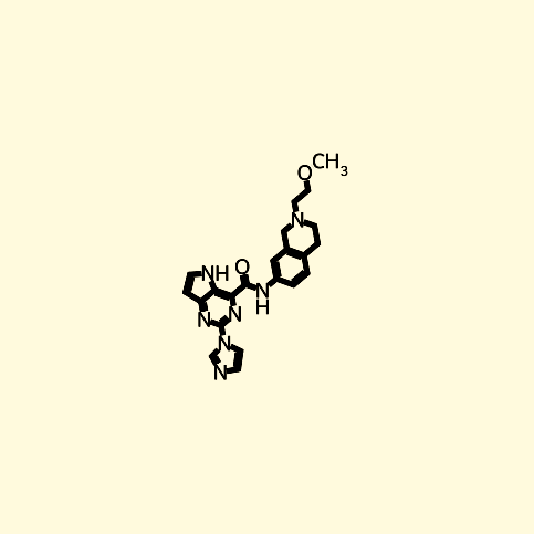 COCCN1CCc2ccc(NC(=O)c3nc(-n4ccnc4)nc4cc[nH]c34)cc2C1